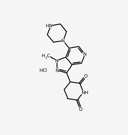 Cl.Cn1nc(C2CCC(=O)NC2=O)c2cncc(N3CCNCC3)c21